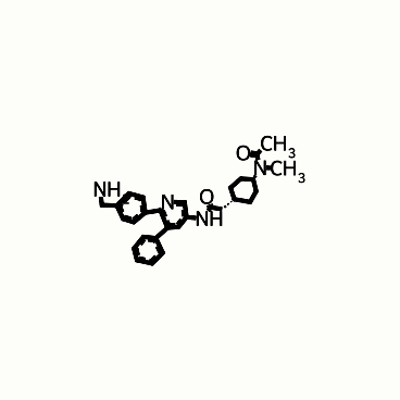 CC(=O)N(C)[C@H]1CC[C@H](CC(=O)Nc2cnc(-c3ccc(CN)cc3)c(-c3ccccc3)c2)CC1